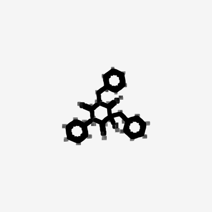 O=C1N(Cc2ccccc2)C(=O)C(Cl)(Cc2ccccc2)C(=O)N1c1ccccc1